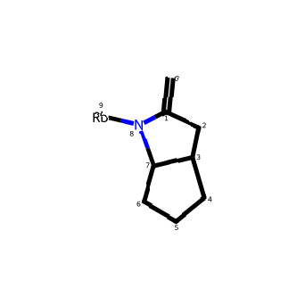 C=C1CC2CCCC2[N]1[Rb]